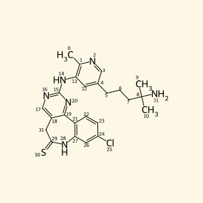 Cc1ncc(CCCC(C)(C)N)cc1Nc1ncc2c(n1)-c1ccc(Cl)cc1NC(=S)C2